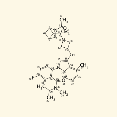 CC(=O)N1CC2CC1C2C(C)N1CC(Cc2cn(-c3ccc(F)cc3C(=O)N(C)C(C)C)c3cncc(C)c23)C1